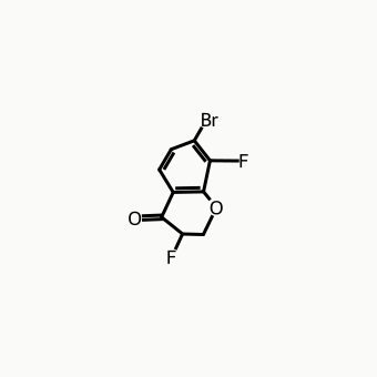 O=C1c2ccc(Br)c(F)c2OCC1F